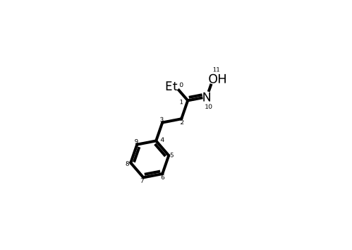 CC/C(CCc1ccccc1)=N\O